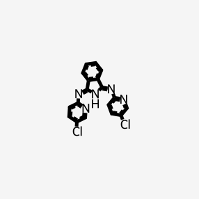 Clc1ccc(N=C2NC(=Nc3ccc(Cl)cn3)c3ccccc32)nc1